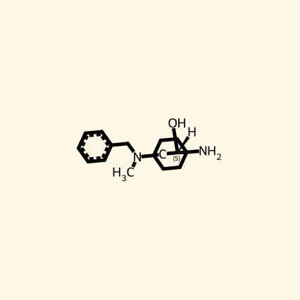 CN(Cc1ccccc1)C12CCC(N)(CC1)[C@@H](O)C2